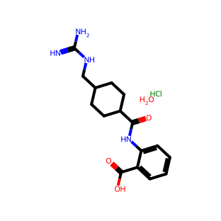 Cl.N=C(N)NCC1CCC(C(=O)Nc2ccccc2C(=O)O)CC1.O